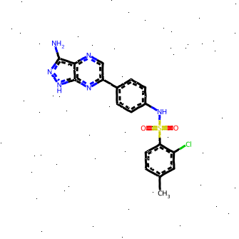 Cc1ccc(S(=O)(=O)Nc2ccc(-c3cnc4c(N)n[nH]c4n3)cc2)c(Cl)c1